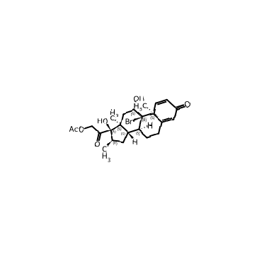 CC(=O)OCC(=O)[C@@]1(O)[C@H](C)C[C@H]2[C@@H]3CCC4=CC(=O)C=C[C@]4(C)[C@@]3(Br)[C@@H](O)C[C@@]21C